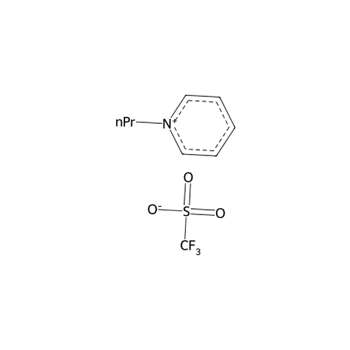 CCC[n+]1ccccc1.O=S(=O)([O-])C(F)(F)F